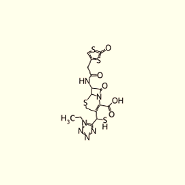 CCn1nnnc1C(S)C1=C(C(=O)O)N2C(=O)C(NC(=O)Cc3csc(=O)s3)C2SC1